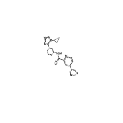 O=C(NC1=CC(c2nncn2C2CC2)CC=C1)c1cc(-c2cncnc2)ccn1